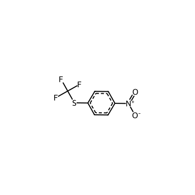 O=[N+]([O-])c1ccc(SC(F)(F)F)cc1